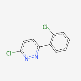 Clc1ccc(-c2ccccc2Cl)nn1